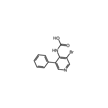 O=C(O)Nc1c(Br)cncc1-c1ccccc1